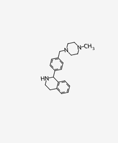 CN1CCN(Cc2ccc(C3NCCc4ccccc43)cc2)CC1